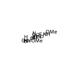 COCCNCc1cccc(Nc2cccc(-c3nccc(-c4ccc(CNC[C@H]5CCC(=O)N5)c(OC)n4)c3Cl)c2Cl)c1F